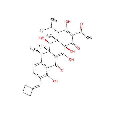 CC(=O)C1=C(O)C(C(C)C)[C@@]2(C)[C@H](O)[C@]3(C)C(=C(O)[C@@]2(O)C1=O)C(=O)c1c(ccc(C=C2CCC2)c1O)[C@H]3C